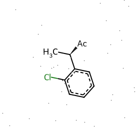 CC(=O)[C@H](C)c1ccccc1Cl